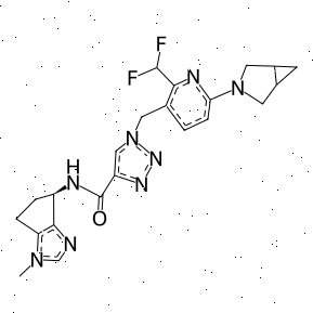 Cn1cnc2c1CC[C@H]2NC(=O)c1cn(Cc2ccc(N3CC4CC4C3)nc2C(F)F)nn1